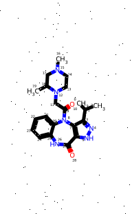 CC(C)c1n[nH]c2c1N(C(=O)CN1CCN(C)CC1C)c1ccccc1NC2=O